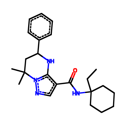 CCC1(NC(=O)c2cnn3c2NC(c2ccccc2)CC3(C)C)CCCCC1